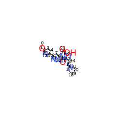 COc1ccc(-c2cc(NC(=O)CC(C)CN3CCCCC3)[nH]n2)cn1.O=CO